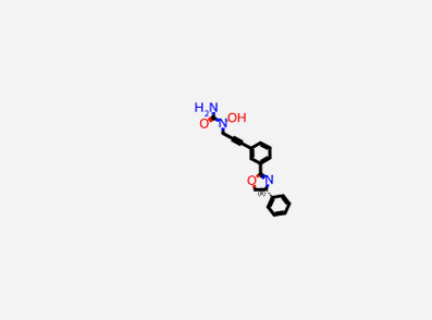 NC(=O)N(O)CC#Cc1cccc(C2=N[C@H](c3ccccc3)CO2)c1